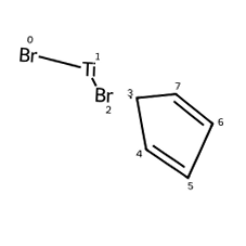 [Br][Ti][Br].[CH]1C=CC=C1